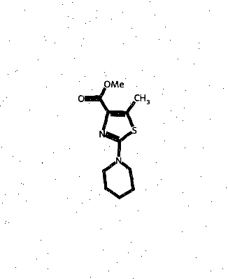 COC(=O)c1nc(N2CCCCC2)sc1C